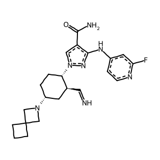 N=C[C@H]1C[C@H](N2CC3(CCC3)C2)CC[C@@H]1n1cc(C(N)=O)c(Nc2ccnc(F)c2)n1